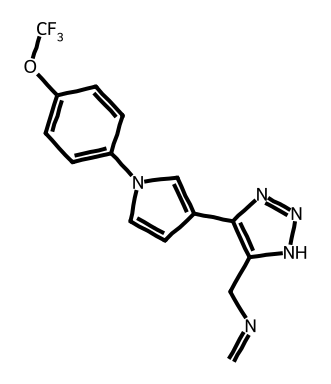 C=NCc1[nH]nnc1-c1ccn(-c2ccc(OC(F)(F)F)cc2)c1